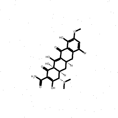 COc1cc(Br)c2c(c1O)C(=O)C1=C(O)[C@]3(O)C(=O)C(C(N)=O)=C(O)[C@@H](N(C)C)[C@@H]3C[C@@H]1C2